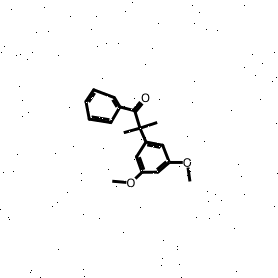 COc1cc(OC)cc(C(C)(C)C(=O)c2ccccc2)c1